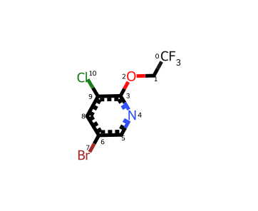 FC(F)(F)COc1ncc(Br)cc1Cl